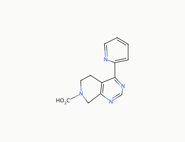 O=C(O)N1CCc2c(ncnc2-c2ccccn2)C1